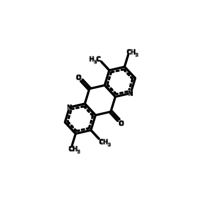 Cc1cnc2c(c1C)C(=O)c1ncc(C)c(C)c1C2=O